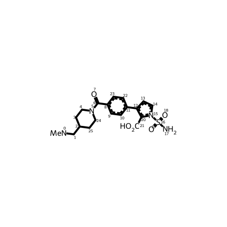 CNCC1CCN(C(=O)c2ccc(-c3ccn(S(N)(=O)=O)c3C(=O)O)cc2)CC1